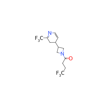 O=C(CCC(F)(F)F)N1CC(C2C=CN=C(C(F)(F)F)C2)C1